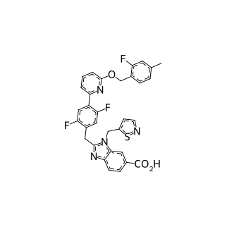 Cc1ccc(COc2cccc(-c3cc(F)c(Cc4nc5ccc(C(=O)O)cc5n4Cc4ccns4)cc3F)n2)c(F)c1